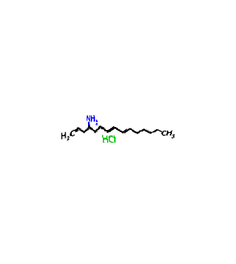 C=CCC(N)CCCCCCCCCCC.Cl